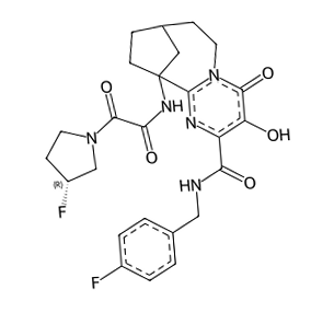 O=C(NC12CCC(CCn3c1nc(C(=O)NCc1ccc(F)cc1)c(O)c3=O)C2)C(=O)N1CC[C@@H](F)C1